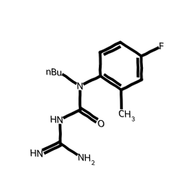 CCCCN(C(=O)NC(=N)N)c1ccc(F)cc1C